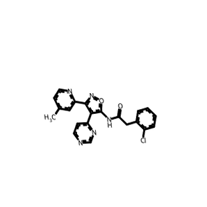 Cc1ccnc(-c2noc(NC(=O)Cc3ccccc3Cl)c2-c2ccncn2)c1